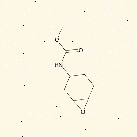 COC(=O)NC1CCC2OC2C1